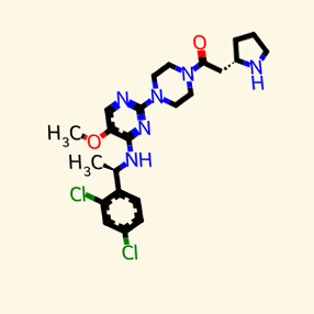 COc1cnc(N2CCN(C(=O)C[C@@H]3CCCN3)CC2)nc1N[C@H](C)c1ccc(Cl)cc1Cl